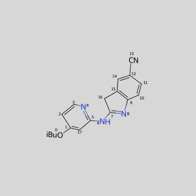 CC(C)COc1ccnc(NC2=Nc3ccc(C#N)cc3C2)c1